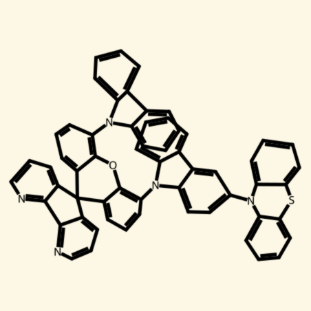 c1ccc2c(c1)Sc1ccccc1N2c1ccc2c(c1)c1ccccc1n2-c1cccc2c1Oc1c(-n3c4ccccc4c4ccccc43)cccc1C21c2cccnc2-c2ncccc21